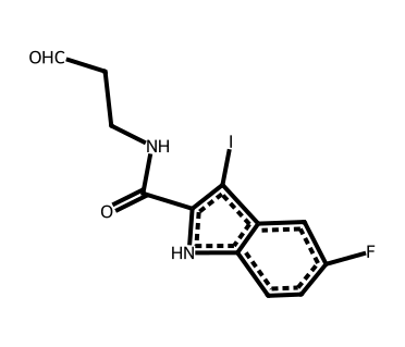 O=CCCNC(=O)c1[nH]c2ccc(F)cc2c1I